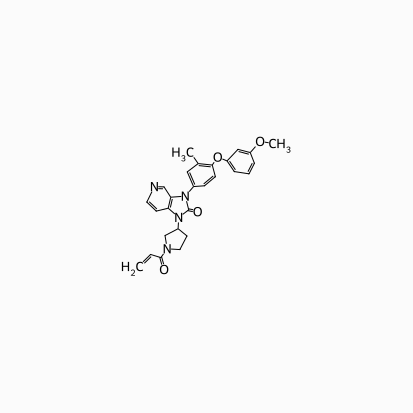 C=CC(=O)N1CCC(n2c(=O)n(-c3ccc(Oc4cccc(OC)c4)c(C)c3)c3cnccc32)C1